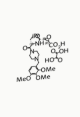 COc1ccc(CN2CCN(C(=O)[C@H](CC(C)C)NC(=O)[C@@H]3O[C@H]3C(=O)O)CC2)c(OC)c1OC.O=C(O)C(=O)O